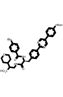 CCCCCCCCCc1ccc(-c2cnc(-c3ccc(C[C@H](NC(=O)c4ccc(C(C)(C)C)cc4)C(=O)NCC(C(=O)O)C4CCOCC4)cc3)nc2)cc1